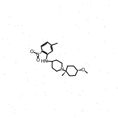 CO[C@H]1CC[C@](C)(N2CCC(Nc3cc(C)ccc3[N+](=O)[O-])CC2)CC1